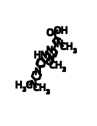 COc1cc(N2CCC(N(C)C)CC2)ccc1Nc1nccc(-c2cc(C(=O)O)cn2C)n1